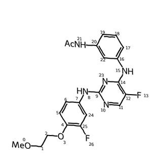 COCCOc1ccc(Nc2ncc(F)c(Nc3cccc(NC(C)=O)c3)n2)cc1F